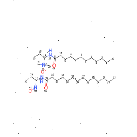 CCCCCCCCCCCC(=O)NC(CC)[N+](C)(C)[O-].CCCCCCCCCCCCCC(=O)NC(CC)N=O